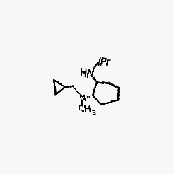 CC(C)N[C@H]1CCCC[C@@H]1N(C)CC1CC1